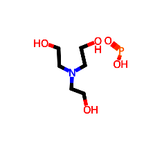 O=PO.OCCN(CCO)CCO